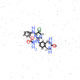 NC(=O)OC1C2C=CC(C2)C1Nc1nc(Nc2ccc3c(c2)CNC(=O)NC3)ncc1Cl